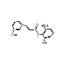 COc1cccc(C=CC(=O)Nc2c(O)cccc2C(=O)O)c1